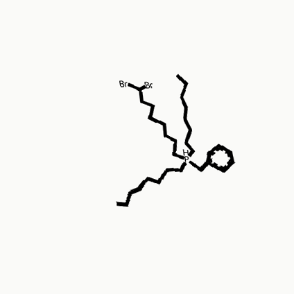 CCCCCCCC[PH](CCCCCCCC)(CCCCCCCC(Br)Br)Cc1ccccc1